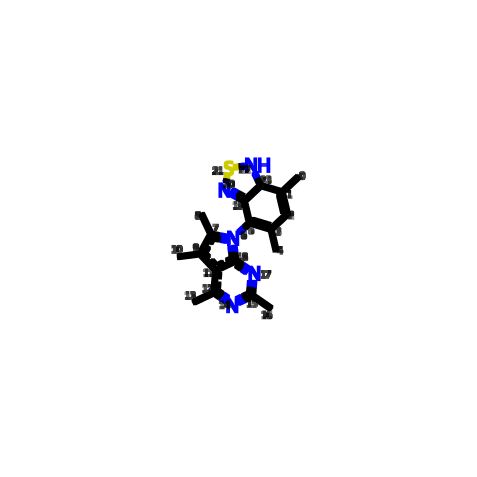 CC1=CC(C)=C(n2c(C)c(C)c3c(C)nc(C)nc32)C2=NSNC12